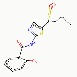 CCCC([S+]=O)c1cnc(NC(=O)c2ccccc2O)s1